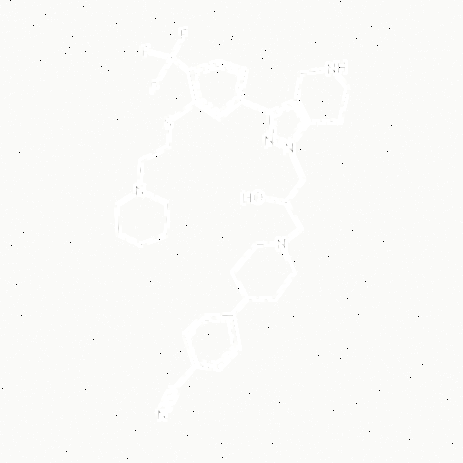 N#Cc1ccc(C2CCN(CC(O)Cn3nc(-c4ccc(C(F)(F)F)c(SCCN5CCCCC5)c4)c4c3CCNC4)CC2)cc1